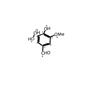 COc1cc(C=O)ccc1O.OO